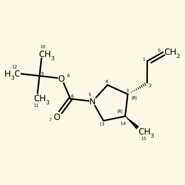 C=CC[C@H]1CN(C(=O)OC(C)(C)C)C[C@@H]1C